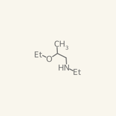 CCNCC(C)OCC